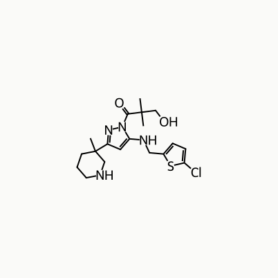 CC(C)(CO)C(=O)n1nc(C2(C)CCCNC2)cc1NCc1ccc(Cl)s1